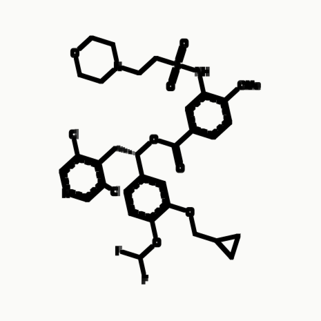 COc1ccc(C(=O)O[C@@H](Cc2c(Cl)cncc2Cl)c2ccc(OC(F)F)c(OCC3CC3)c2)cc1NS(=O)(=O)CCN1CCOCC1